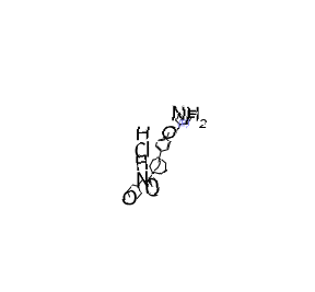 Cl.NC/C(=C\F)COc1ccc(C23CCCC(C(=O)NC4CCOCC4)(CC2)CC3)cc1